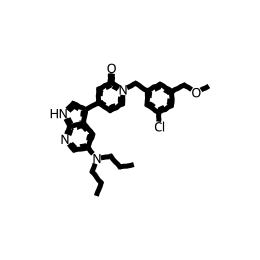 CCCN(CCC)c1cnc2[nH]cc(-c3ccn(Cc4cc(Cl)cc(COC)c4)c(=O)c3)c2c1